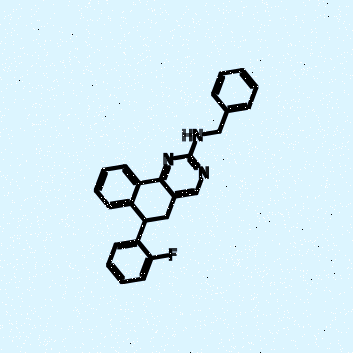 Fc1ccccc1C1Cc2cnc(NCc3ccccc3)nc2-c2ccccc21